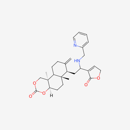 C=C1CCC2[C@]3(C)COC(=O)O[C@@H]3CC[C@@]2(C)[C@@H]1CC(NCc1ccccn1)C1=CCOC1=O